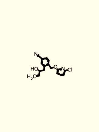 C=CC(O)Cc1cc(C#N)ccc1COc1cccc(Cl)n1